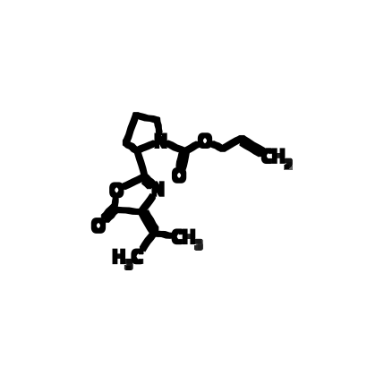 C=CCOC(=O)N1CCCC1C1=NC(=C(C)C)C(=O)O1